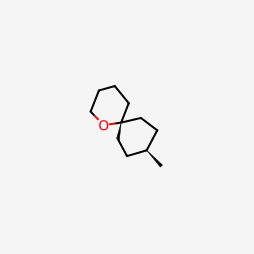 C[C@H]1CC[C@@]2(CCCCO2)CC1